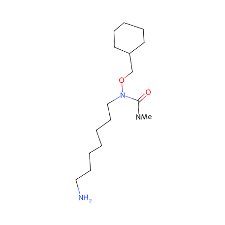 CNC(=O)N(CCCCCCCN)OCC1CCCCC1